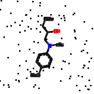 CCCCN(CC(O)COC)c1ccc(OC)cc1